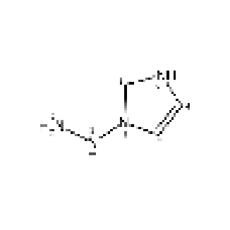 NNN1C=CNC1